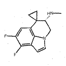 CN[C@@H]1Cn2ccc3c(F)c(F)cc(c32)C12CC2